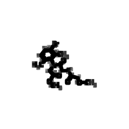 COCC(=O)SCC(=O)N(CC(=O)OC)c1c(C)ccc(Br)c1C